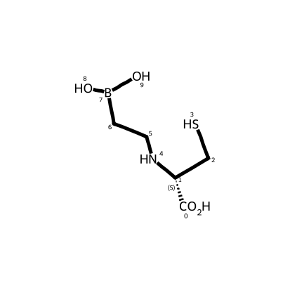 O=C(O)[C@@H](CS)NCCB(O)O